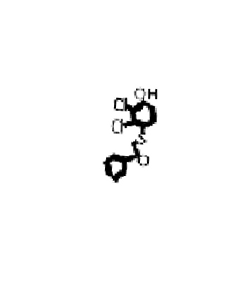 O=C(CSc1ccc(O)c(Cl)c1Cl)c1ccccc1